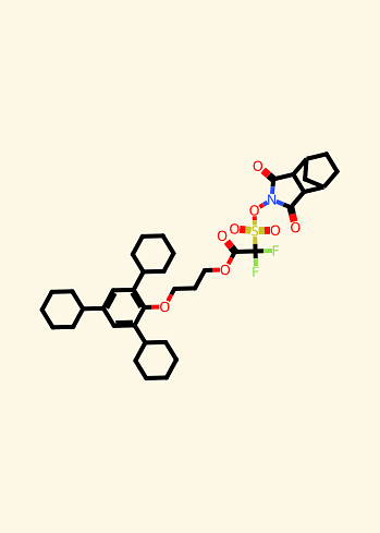 O=C1C2C3CCC(C3)C2C(=O)N1OS(=O)(=O)C(F)(F)C(=O)OCCCOc1c(C2CCCCC2)cc(C2CCCCC2)cc1C1CCCCC1